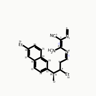 C=N/C(C#N)=C(N)\N=C/CC(CC)[C@@H](C)c1ccc2cc(CC)ccc2c1